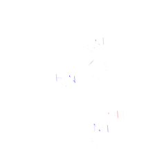 COc1ccc(CCC(O)CNC=O)c(CN)c1